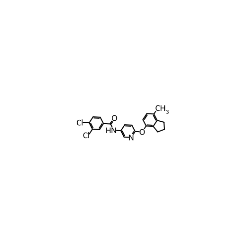 Cc1ccc(Oc2ccc(NC(=O)c3ccc(Cl)c(Cl)c3)cn2)c2c1CCC2